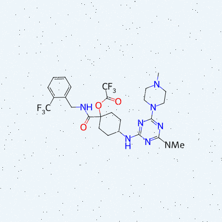 CNc1nc(NC2CCC(OC(=O)C(F)(F)F)(C(=O)NCc3ccccc3C(F)(F)F)CC2)nc(N2CCN(C)CC2)n1